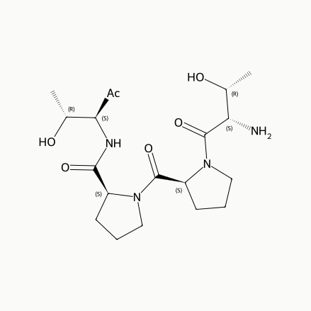 CC(=O)[C@@H](NC(=O)[C@@H]1CCCN1C(=O)[C@@H]1CCCN1C(=O)[C@@H](N)[C@@H](C)O)[C@@H](C)O